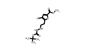 COC(=O)c1cc(Cl)c(CCNNC(=O)OC(C)(C)C)s1